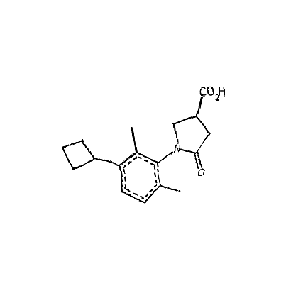 Cc1ccc(C2CCC2)c(C)c1N1CC(C(=O)O)CC1=O